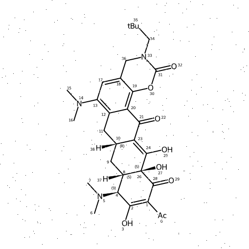 CC(=O)C1=C(O)[C@@H](N(C)C)[C@@H]2C[C@@H]3Cc4c(N(C)C)cc5c(c4C(=O)C3=C(O)[C@]2(O)C1=O)OC(=O)N(CC(C)(C)C)C5